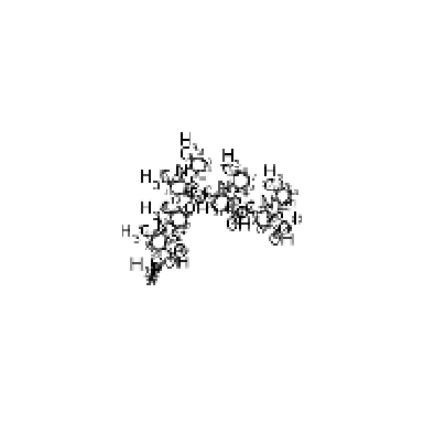 Cc1cccc2[s+]c3c(C(=O)O)ccc(C)c3nc12.Cc1cccc2[s+]c3c(C(=O)O)ccc(C)c3nc12.Cc1cccc2[s+]c3c(C(=O)O)ccc(C)c3nc12.Cc1cccc2[s+]c3c(C(=O)O)ccc(C)c3nc12.O.[I-].[I-].[I-].[I-]